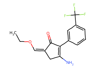 CCOC=C1CC(N)=C(c2cccc(C(F)(F)F)c2)C1=O